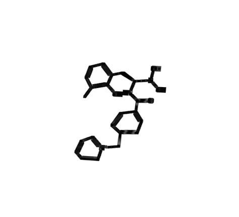 Cc1cccc(C[C@H](NC(=O)c2ccc(C[n+]3ccccc3)cc2)B(O)O)c1O